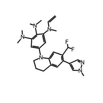 C=CN(C)c1cc(N2CCCc3cc(-c4cnn(C)c4)c(C(F)F)cc32)cc(N(C)C)c1N(C)C